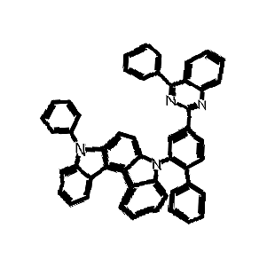 c1ccc(-c2ccc(-c3nc(-c4ccccc4)c4ccccc4n3)cc2-n2c3ccccc3c3c4c5ccccc5n(-c5ccccc5)c4ccc32)cc1